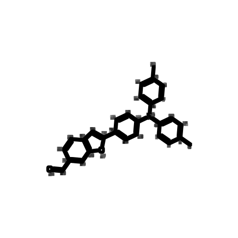 Cc1ccc(N(c2ccc(C)cc2)c2ccc(-c3cc4ccc(C=O)cc4o3)cc2)cc1